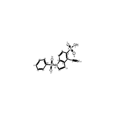 N#Cc1c(S(=O)(=O)O)ccc2c1ccn2S(=O)(=O)c1ccccc1